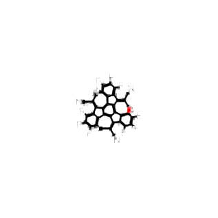 N#CC(C#N)=C1c2c(F)c(F)c(F)c(F)c2-c2c1c1c(c3c2C(=C(C#N)C#N)c2c(F)c(F)c(F)c(F)c2-3)C(=C(C#N)C#N)c2c(F)c(F)c(F)c(F)c2-1